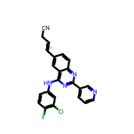 N#CC/C=C/c1ccc2nc(-c3cccnc3)nc(Nc3ccc(F)c(Cl)c3)c2c1